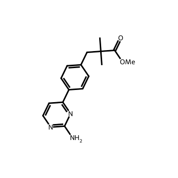 COC(=O)C(C)(C)Cc1ccc(-c2ccnc(N)n2)cc1